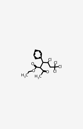 CCOC(=O)C(C(C)=O)C(c1ccccc1)C(Cl)CC(Cl)(Cl)Cl